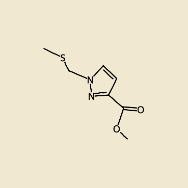 COC(=O)c1ccn(CSC)n1